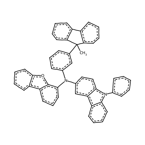 CC1(c2cccc(N(c3ccc4c(c3)c3ccccc3n4-c3ccccc3)c3cccc4c3oc3ccccc34)c2)c2ccccc2-c2ccccc21